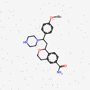 CCCCOc1ccc(C(CC2OCCc3cc(C(N)=O)ccc32)N2CCNCC2)cc1